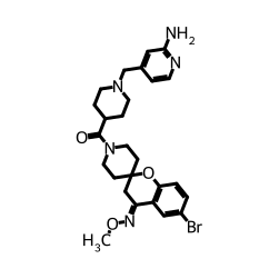 CON=C1CC2(CCN(C(=O)C3CCN(Cc4ccnc(N)c4)CC3)CC2)Oc2ccc(Br)cc21